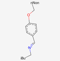 CCCCCCCCCCOc1ccc(C=[N+]CC(C)CC)cc1